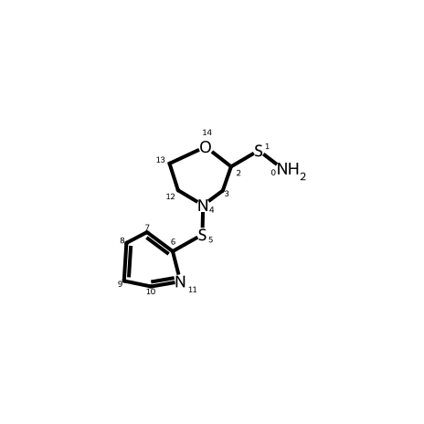 NSC1CN(Sc2ccccn2)CCO1